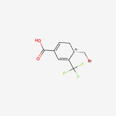 O=C(O)C1=CC[C@H](CBr)C(C(F)(F)F)=C1